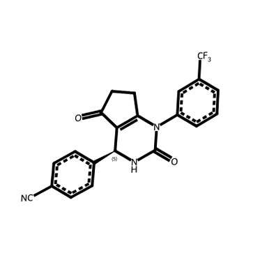 N#Cc1ccc([C@@H]2NC(=O)N(c3cccc(C(F)(F)F)c3)C3=C2C(=O)CC3)cc1